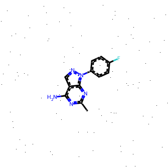 Cc1nc(N)c2cnn(-c3ccc(F)cc3)c2n1